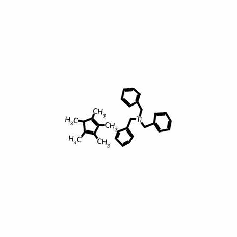 CC1=C(C)C(C)C(C)=C1C.c1ccc([CH2][Ti]([CH2]c2ccccc2)[CH2]c2ccccc2)cc1